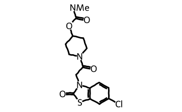 CNC(=O)OC1CCN(C(=O)Cn2c(=O)sc3cc(Cl)ccc32)CC1